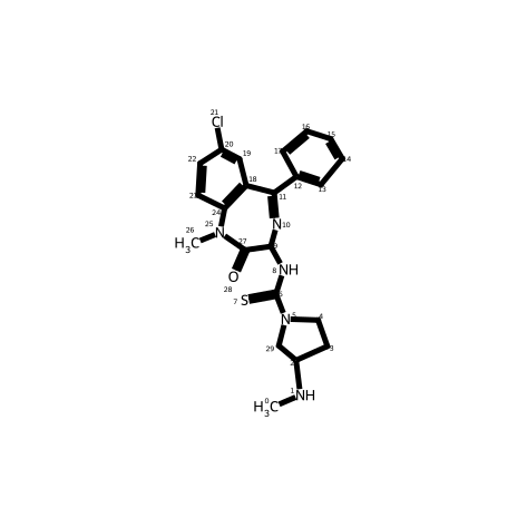 CNC1CCN(C(=S)NC2N=C(c3ccccc3)c3cc(Cl)ccc3N(C)C2=O)C1